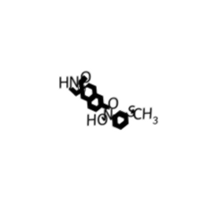 CSc1cccc(N(O)C(=O)c2ccc3c(c2)CC[C@]2(CCNC2=O)C3)c1